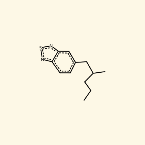 CCCC(C)Cc1ccc2nsnc2c1